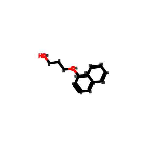 OCCCOc1c#ccc2ccccc12